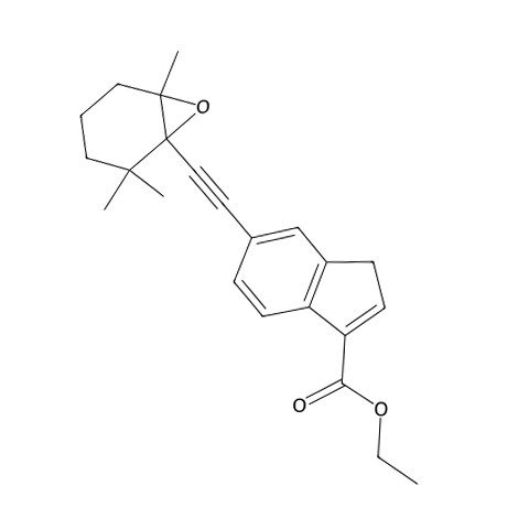 CCOC(=O)C1=CCc2cc(C#CC34OC3(C)CCCC4(C)C)ccc21